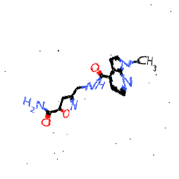 Cn1ccc2c(C(=O)NCC3=NOC(C(N)=O)C3)ccnc21